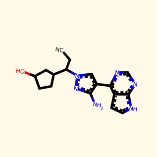 N#CCC(C1CCC(O)C1)n1cc(-c2ncnc3[nH]ccc23)c(N)n1